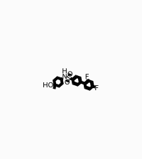 CC1(O)CCC(NS(=O)(=O)c2ccc(-c3ccc(F)cc3F)cc2)CC1